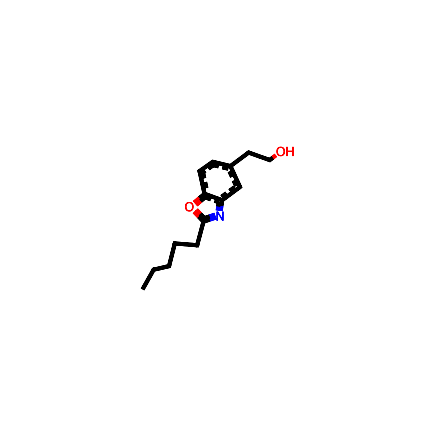 CCCCCc1nc2cc(CCO)ccc2o1